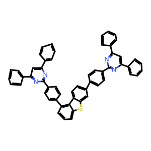 c1ccc(-c2cc(-c3ccccc3)nc(-c3ccc(-c4ccc5c(c4)sc4cccc(-c6ccc(-c7nc(-c8ccccc8)cc(-c8ccccc8)n7)cc6)c45)cc3)n2)cc1